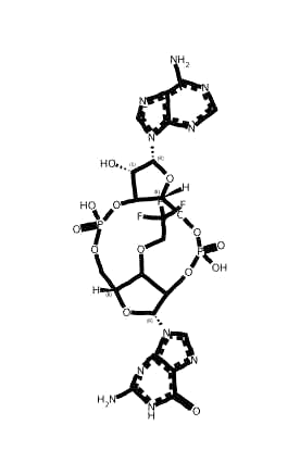 Nc1nc2c(ncn2[C@@H]2O[C@@H]3COP(=O)(O)OC4[C@@H](COP(=O)(O)OC2C3OCC(F)(F)F)O[C@@H](n2cnc3c(N)ncnc32)[C@H]4O)c(=O)[nH]1